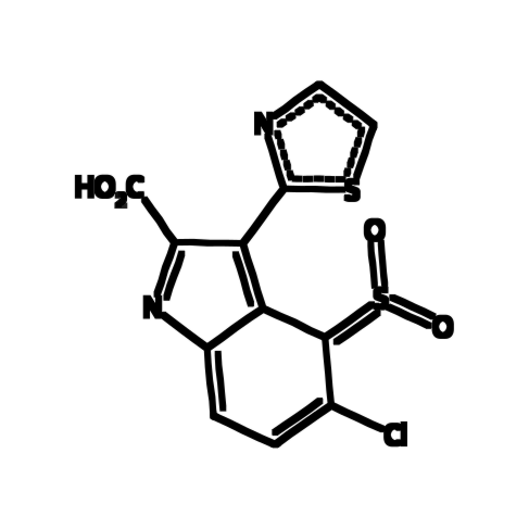 O=C(O)C1=NC2=CC=C(Cl)C(=S(=O)=O)C2=C1c1nccs1